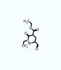 CCOC(=O)C(CC(Br)C=O)C(=O)OCC